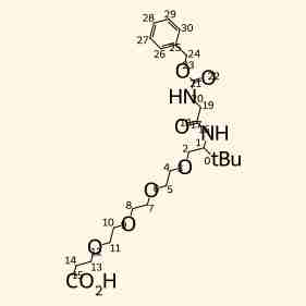 CC(C)(C)C(COCCOCCOCCOCCC(=O)O)NC(=O)CNC(=O)OCc1ccccc1